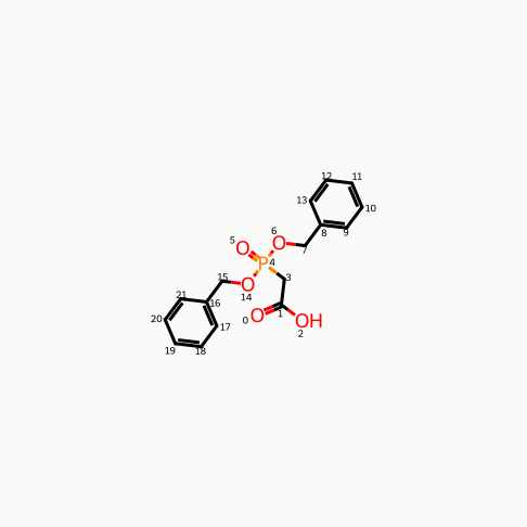 O=C(O)CP(=O)(OCc1ccccc1)OCc1ccccc1